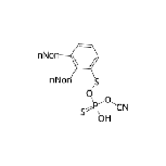 CCCCCCCCCc1cccc(SOP(O)(=S)OC#N)c1CCCCCCCCC